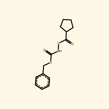 O=C(NOC(=O)C1CCCC1)OCc1ccccc1